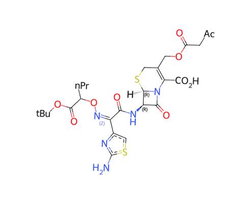 CCCC(O/N=C(\C(=O)N[C@@H]1C(=O)N2C(C(=O)O)=C(COC(=O)CC(C)=O)CS[C@H]12)c1csc(N)n1)C(=O)OC(C)(C)C